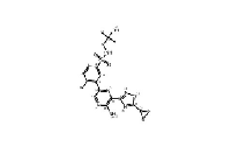 Cc1ccc(S(=O)(=O)NCC(C)(C)O)cc1-c1cnc(N)c(-c2noc(C3CC3)n2)n1